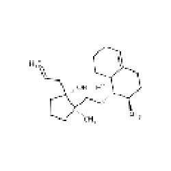 C=CC[C@]1(O)CCC[C@]1(C)CC[C@H]1[C@H](C)CCC2=CCCC[C@@H]21